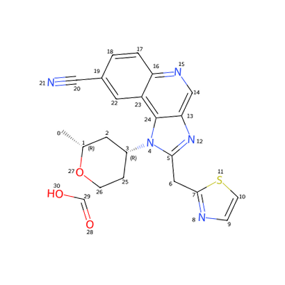 C[C@@H]1C[C@H](n2c(Cc3nccs3)nc3cnc4ccc(C#N)cc4c32)CCO1.O=CO